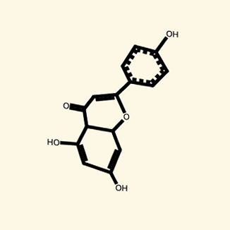 O=C1C=C(c2ccc(O)cc2)OC2C=C(O)C=C(O)C12